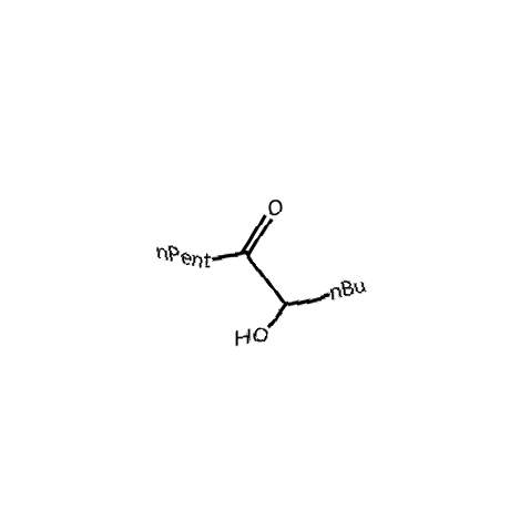 CCCCCC(=O)C(O)CCCC